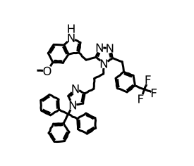 COc1ccc2[nH]cc(Cc3nnc(Cc4cccc(C(F)(F)F)c4)n3CCCc3cn(C(c4ccccc4)(c4ccccc4)c4ccccc4)cn3)c2c1